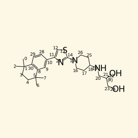 CC1(C)CCC(C)(C)c2cc(-c3csc(N4CCC(NC[C@@H](O)CO)CC4)n3)ccc21